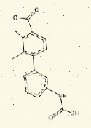 Cc1c(-c2cncc(NC(=O)O)c2)ccc2c1COC2=O